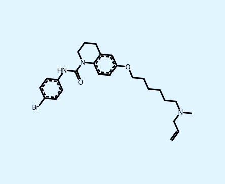 C=CCN(C)CCCCCCOc1ccc2c(c1)CCCN2C(=O)Nc1ccc(Br)cc1